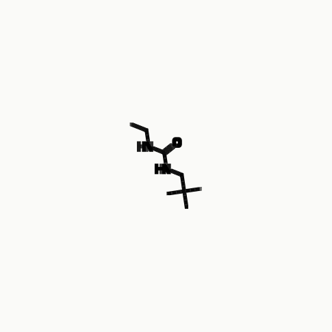 CCNC(=O)NCC(C)(C)C